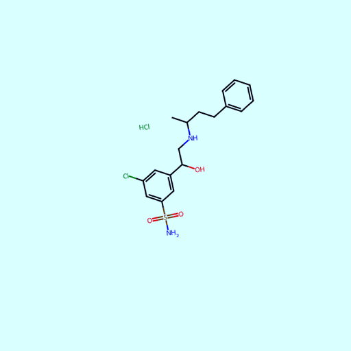 CC(CCc1ccccc1)NCC(O)c1cc(Cl)cc(S(N)(=O)=O)c1.Cl